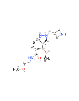 COCCNC(=O)c1ccc2nn(CC3CNC3)cc2c1OC